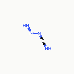 N=C=NN=N